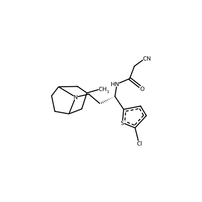 CC1CC2CCC(C1)N2CC[C@H](NC(=O)CC#N)c1ccc(Cl)s1